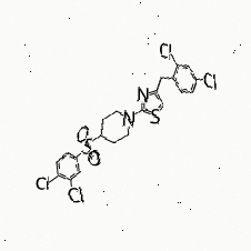 O=S(=O)(c1ccc(Cl)c(Cl)c1)C1CCN(c2nc(Cc3ccc(Cl)cc3Cl)cs2)CC1